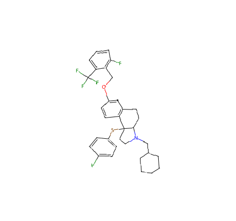 Fc1ccc(SC23CCN(CC4CCCCC4)C2CCc2cc(OCc4c(F)cccc4C(F)(F)F)ccc23)cc1